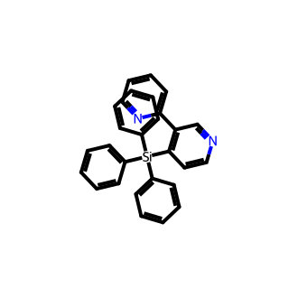 c1ccc([Si](c2ccccc2)(c2ccccc2)c2ccncc2-c2ccccn2)cc1